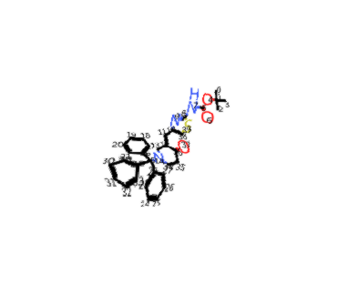 CC(C)(C)OC(=O)Nc1nc(C=C2CN(C(c3ccccc3)(c3ccccc3)c3ccccc3)CCC2=O)cs1